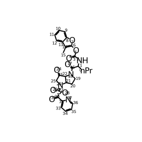 CCCC(NC(=O)Oc1oc2ccccc2c1C)C(=O)N1CCC2C1C(=O)CN2S(=O)(=O)C(=O)c1ccccn1